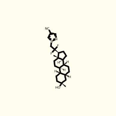 C[C@@]1(O)CC[C@H]2[C@H](CC[C@@H]3[C@@H]2CC[C@]2(C)[C@@H](C(F)(F)Cn4cc(C#N)cn4)CC[C@@H]32)C1